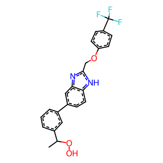 CC(OO)c1cccc(-c2ccc3[nH]c(COc4ccc(C(F)(F)F)cc4)nc3c2)c1